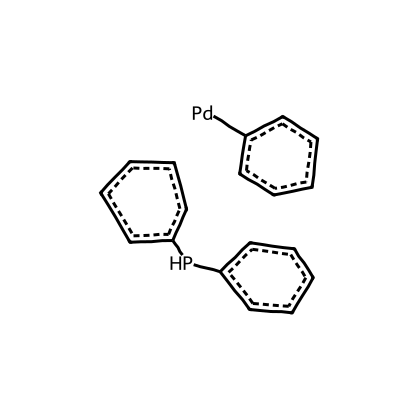 [Pd][c]1ccccc1.c1ccc(Pc2ccccc2)cc1